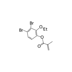 C=C(C)C(=O)Oc1ccc(Br)c(Br)c1OCC